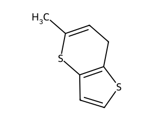 CC1=CCc2sccc2S1